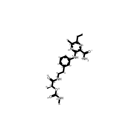 CCc1nc(C(N)=O)c(Nc2cccc(CCNC(=O)[C@H](C)OC(=O)NC)c2)nc1C